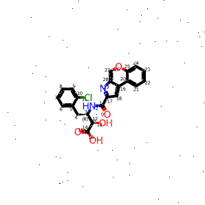 O=C(N[C@H](Cc1ccccc1Cl)[C@@H](O)C(=O)O)c1cc2c3ccccc3occ-2n1